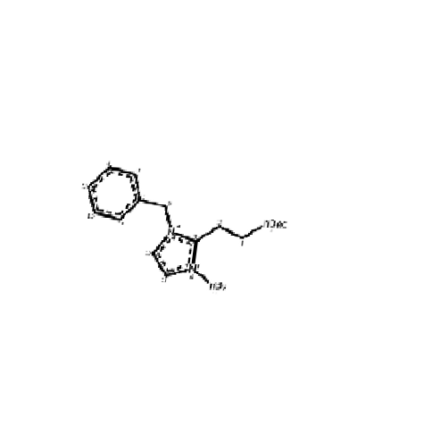 CCCCCCCCCCCCc1n(Cc2ccccc2)cc[n+]1CCCC